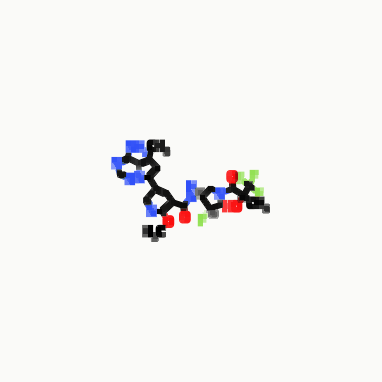 COc1ncc(-c2cc(C)c3c(N)ncnn23)cc1C(=O)N[C@@H]1CN(C(=O)[C@@](C)(O)C(F)(F)F)C[C@@H]1F